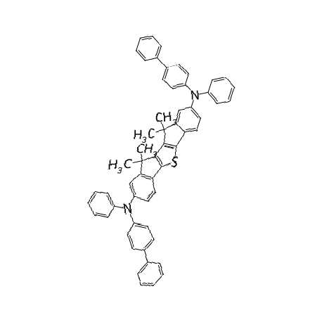 CC1(C)c2cc(N(c3ccccc3)c3ccc(-c4ccccc4)cc3)ccc2-c2sc3c(c21)C(C)(C)c1cc(N(c2ccccc2)c2ccc(-c4ccccc4)cc2)ccc1-3